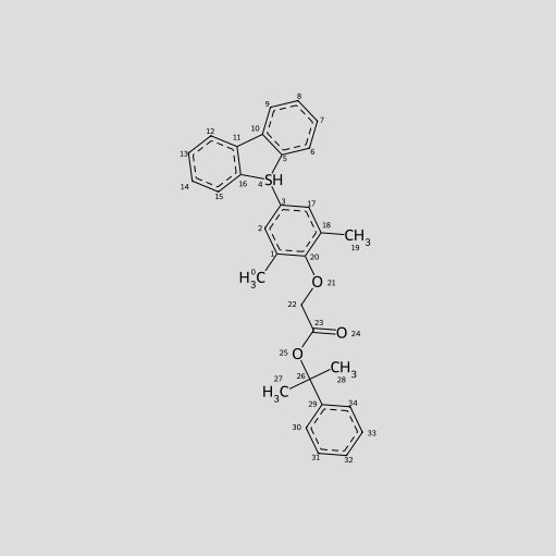 Cc1cc([SH]2c3ccccc3-c3ccccc32)cc(C)c1OCC(=O)OC(C)(C)c1ccccc1